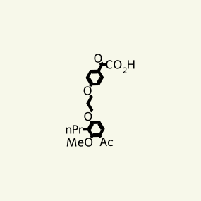 CCCc1c(OCCCOc2ccc(C(=O)C(=O)O)cc2)ccc(C(C)=O)c1OC